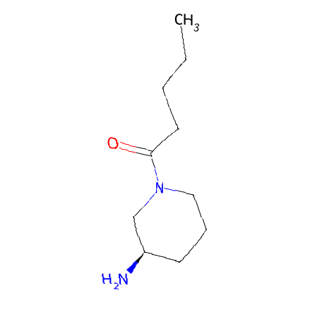 CCCCC(=O)N1CCC[C@@H](N)C1